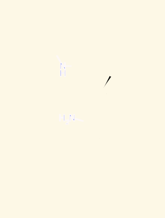 CCCC(N)C[C@H](C)CCNC